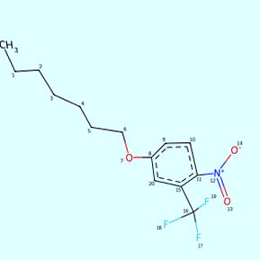 CCCCCCCOc1ccc([N+](=O)[O-])c(C(F)(F)F)c1